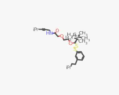 CC(C)C#CCNC(=O)COCCOC(SSc1cccc(CCC(C)C)c1)C(C)(C)[Si](C)(C)C